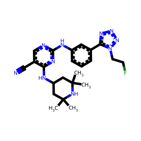 CC1(C)CC(Nc2nc(Nc3cccc(-c4nnnn4CCF)c3)ncc2C#N)CC(C)(C)N1